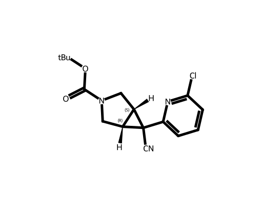 CC(C)(C)OC(=O)N1C[C@@H]2[C@H](C1)C2(C#N)c1cccc(Cl)n1